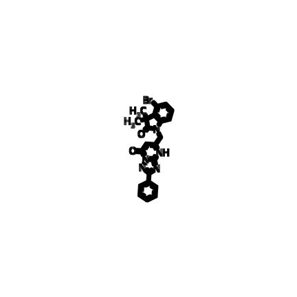 CC1(C)C(=O)N(Cc2cc(=O)n3nc(-c4ccccc4)nc3[nH]2)c2cccc(Br)c21